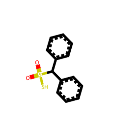 O=S(=O)(S)C(c1ccccc1)c1ccccc1